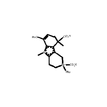 COC1=CCC(C)(C(=O)O)c2c3c(n(C)c21)CC[N+](C(=O)O)(C(C)(C)C)C3